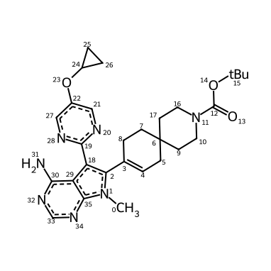 Cn1c(C2=CCC3(CC2)CCN(C(=O)OC(C)(C)C)CC3)c(-c2ncc(OC3CC3)cn2)c2c(N)ncnc21